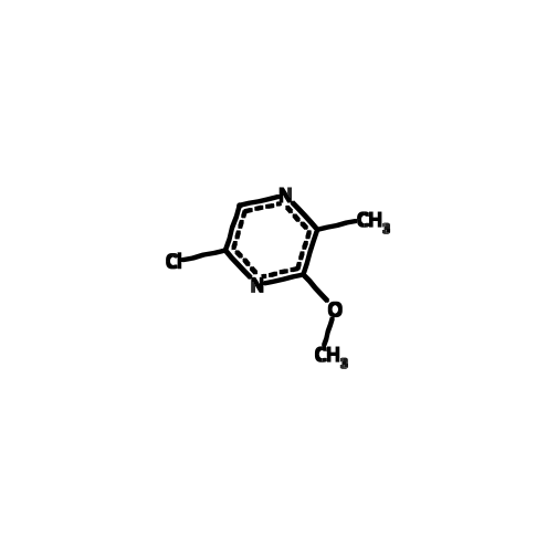 COc1nc(Cl)cnc1C